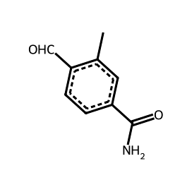 Cc1cc(C(N)=O)ccc1C=O